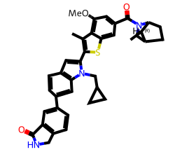 COc1cc(C(=O)N2CC3CCC2[C@@H]3C)cc2sc(-c3cc4ccc(-c5ccc6c(c5)C(=O)NC6)cc4n3CC3CC3)c(C)c12